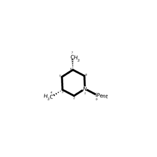 CCCC(C)N1C[C@H](C)C[C@H](C)C1